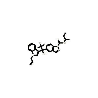 C=CCn1cc(C(O)(c2ccc3c(cnn3C(=O)NC(C)CC)c2)C(F)(F)F)c2ccccc21